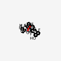 C#Cc1c(F)ccc2cc(O)cc(-c3nc4c5c(nc(OC[C@@]67CCCN6C[C@H](F)C7)nc5c3F)N3C[C@H]5CC[C@@H]([C@H]3CCC4)N5Cc3oc(=O)oc3C(C)(C)C)c12